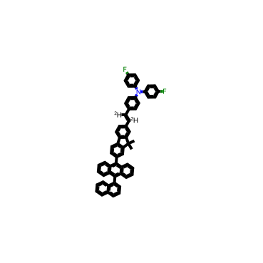 [2H]/C(=C(/[2H])c1ccc2c(c1)C(C)(C)c1cc(-c3c4ccccc4c(-c4cccc5ccccc45)c4ccccc34)ccc1-2)c1ccc(N(c2ccc(F)cc2)c2ccc(F)cc2)cc1